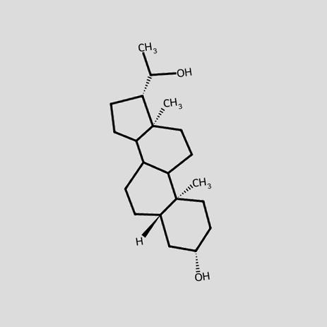 CC(O)[C@H]1CCC2C3CC[C@H]4C[C@@H](O)CC[C@]4(C)C3CC[C@@]21C